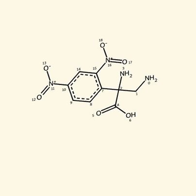 NCC(N)(C(=O)O)c1ccc([N+](=O)[O-])cc1[N+](=O)[O-]